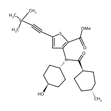 COC(=O)c1sc(C#C[Si](C)(C)C)cc1N(C(=O)[C@H]1CC[C@H](C)CC1)[C@H]1CC[C@H](O)CC1